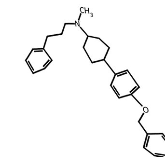 CN(CCCc1ccccc1)C1CCC(c2ccc(OCc3ccccc3)cc2)CC1